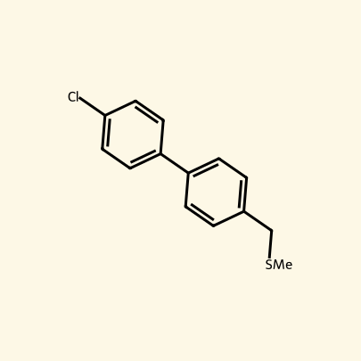 CSCc1ccc(-c2ccc(Cl)cc2)cc1